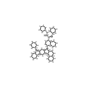 c1ccc(C2NC(c3ccc(-n4c5cc6c(cc5c5c7ccccc7ccc54)c4ccccc4n6-c4ccccc4)c4ccccc34)=Nc3ccccc32)cc1